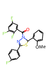 COc1ccccc1C1SC(c2ccc(F)cc2)=NN1C(=O)c1cc(F)cc(F)c1F